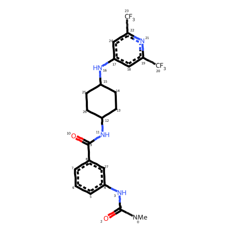 CNC(=O)Nc1cccc(C(=O)NC2CCC(Nc3cc(C(F)(F)F)nc(C(F)(F)F)c3)CC2)c1